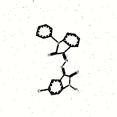 NN1C(=O)/C(=N\N=C2/C(=O)N(c3ccccc3)c3ccccc32)c2cc(Cl)ccc21